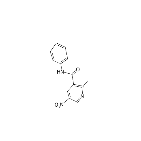 Cc1ncc([N+](=O)[O-])cc1C(=O)Nc1ccccc1